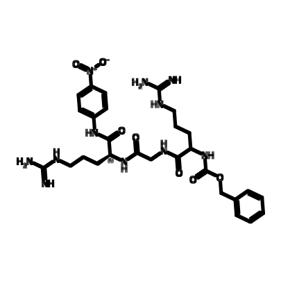 N=C(N)NCCCC(NC(=O)OCc1ccccc1)C(=O)NCC(=O)N[C@@H](CCCNC(=N)N)C(=O)Nc1ccc([N+](=O)[O-])cc1